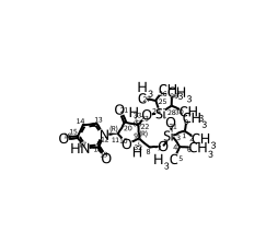 CC(C)[Si]1(C(C)C)OC[C@H]2O[C@@H](n3ccc(=O)[nH]c3=O)C(=O)[C@H]2O[Si](C(C)C)(C(C)C)O1